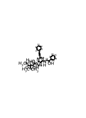 CNC(=O)C(C)(C(C)C)C(O)[C@@H](O)n1cnc2c(NCC(O)c3ccccc3)nc(C#Cc3ccccc3)nc21